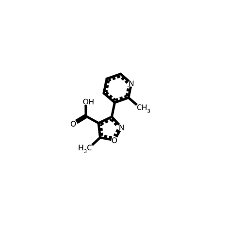 Cc1ncccc1-c1noc(C)c1C(=O)O